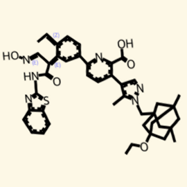 C/C=c1/ccc(-c2ccc(-c3cnn(CC45CC6(C)CC(C)(C4)CC(OCC)(C6)C5)c3C)c(C(=O)O)n2)c/c1=C(/C=N/O)C(=O)Nc1nc2ccccc2s1